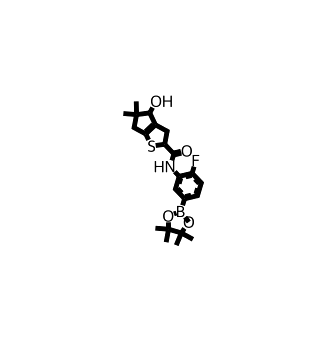 CC1(C)CC2=C(CC(C(=O)Nc3cc(B4OC(C)(C)C(C)(C)O4)ccc3F)S2)C1O